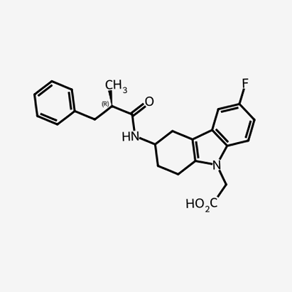 C[C@H](Cc1ccccc1)C(=O)NC1CCc2c(c3cc(F)ccc3n2CC(=O)O)C1